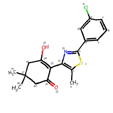 Cc1sc(-c2cccc(Cl)c2)nc1C1=C(O)CC(C)(C)CC1=O